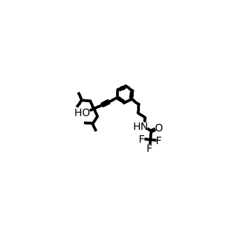 CC(C)CC(O)(C#Cc1cccc(CCCNC(=O)C(F)(F)F)c1)CC(C)C